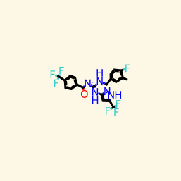 Cc1cc(CN/C(=N/C(=O)c2ccc(C(F)(F)F)cc2)Nc2cc(C(F)(F)F)[nH]n2)ccc1F